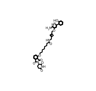 Nc1nnc(-c2ccccc2O)cc1OCC12CC(CNC(=O)CCCCCCCOc3cccc4c3C(=O)N(C3CCC(=O)NC3=O)C4=O)(C1)C2